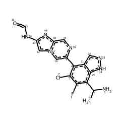 CC(N)c1c(F)c(Cl)c(-c2cn3cc(NC=O)nc3cn2)c2cn[nH]c12